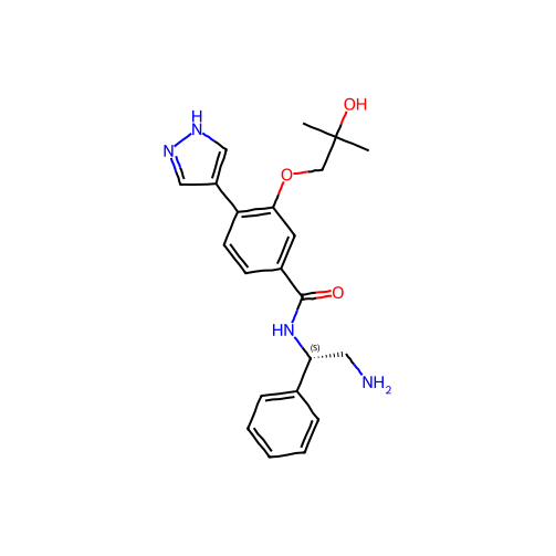 CC(C)(O)COc1cc(C(=O)N[C@H](CN)c2ccccc2)ccc1-c1cn[nH]c1